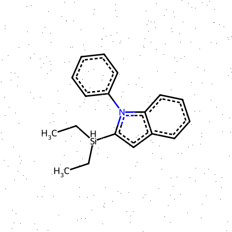 CC[SiH](CC)c1cc2ccccc2n1-c1ccccc1